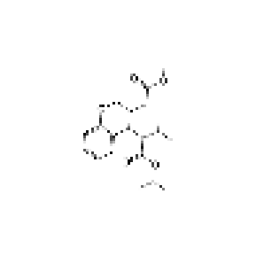 COC(=O)CC1COc2ccccc2C1C(C(=O)OC(C)C)C(C)C